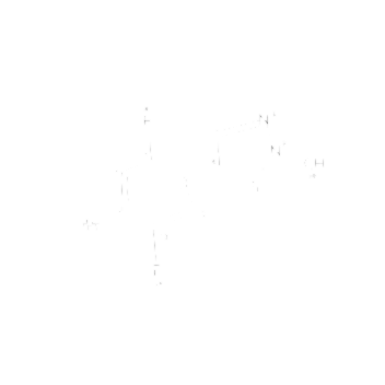 CC(C)c1cc(F)c(-c2cnn(C)c2)cc1F